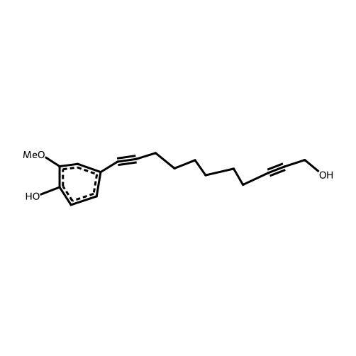 COc1cc(C#CCCCCCCC#CCO)ccc1O